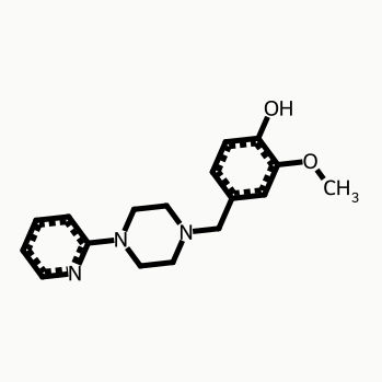 COc1cc(CN2CCN(c3ccccn3)CC2)ccc1O